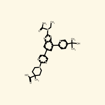 CCN(C(N)=O)c1nc2cc(-c3cnc(N4CCC(C)(C(=O)O)CC4)nc3)cc(-c3ccc(C(C)(C)O)cn3)c2s1